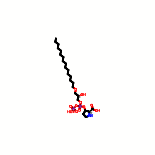 CCCCCCCCCCCCCCCCOC[C@H](O)COP(=O)(OC1CCN[C@@H]1C(=O)O)OP(=O)(O)O